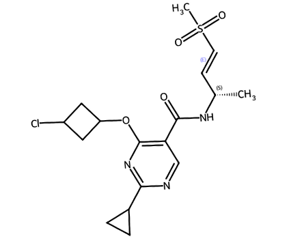 C[C@@H](/C=C/S(C)(=O)=O)NC(=O)c1cnc(C2CC2)nc1OC1CC(Cl)C1